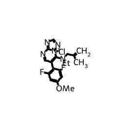 C=C(C)CN(CC)C1=C(c2c(F)cc(OC)cc2F)C=NC2=NC=N[N+]21Cl